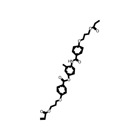 C=CC(=O)OCCCOc1ccc(C(=O)Oc2ccc(NC(=O)c3ccc(OCCCOC(=O)CC)cc3)c(C)c2)cc1